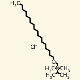 CCCCCCCCCCCCCCCCCCOC[N+](C)(C)C(C)C.[Cl-]